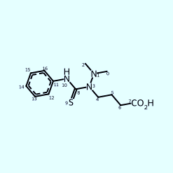 CN(C)N(CCCC(=O)O)C(=S)Nc1ccccc1